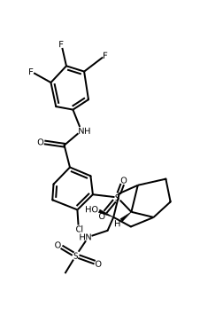 CS(=O)(=O)NC[C@]1(O)CC2CCC(C1)[C@@H]2S(=O)(=O)c1cc(C(=O)Nc2cc(F)c(F)c(F)c2)ccc1Cl